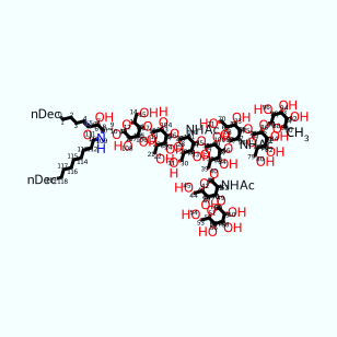 CCCCCCCCCCCCC/C=C/[C@@H](O)[C@H](CO[C@@H]1OC(CO)[C@@H](O[C@@H]2OC(CO)[C@H](O)[C@H](O[C@@H]3OC(CO)[C@@H](O)[C@H](O[C@@H]4OC(CO[C@@H]5OC(CO)[C@@H](O)[C@H](O[C@@H]6OC(CO)[C@H](O)[C@H](O)C6O)C5NC(C)=O)[C@H](O)[C@H](O[C@@H]5OC(CO)[C@@H](O)[C@H](O[C@@H]6OC(CO)[C@H](O)[C@H](O)C6O[C@H]6OC(C)[C@@H](O)C(O)[C@@H]6O)C5NC(C)=O)C4O)C3NC(C)=O)C2O)[C@H](O)C1O)NC(=O)CCCCCCCCCCCCCCCCC